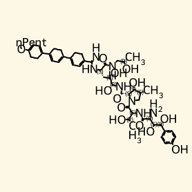 CCCCCOC1=CC=C(C2=CC=C(C3=CC=C(C(=N)N[C@@H](C[C@@H](O)[C@@H](O)NC(=O)[C@@H]4[C@@H](O)[C@@H](C)CN4C(=O)[C@@H](NC(=O)[C@@H](N)[C@H](O)[C@@H](O)c4ccc(O)cc4)[C@@H](C)O)C(=O)NC[C@@H](C)O)CC3)CC2)CC1